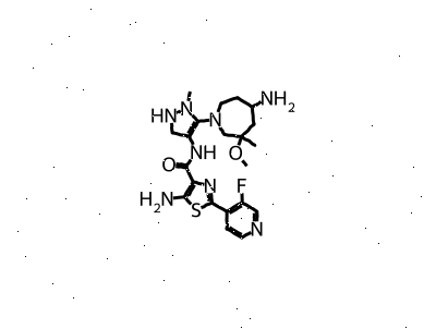 COC1(C)CC(N)CCN(C2=C(NC(=O)c3nc(-c4ccncc4F)sc3N)CNN2C)C1